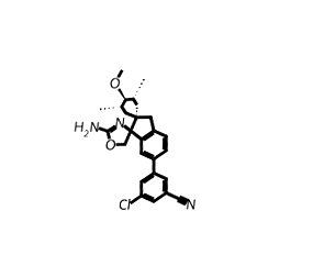 CO[C@H]1[C@H](C)C[C@@]2(Cc3ccc(-c4cc(Cl)cc(C#N)c4)cc3C23COC(N)=N3)C[C@@H]1C